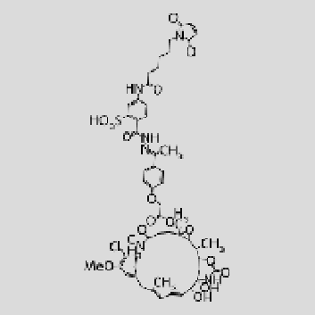 COc1cc2cc(c1Cl)N(C)C(=O)C[C@H](OC(=O)COc1ccc(/C(C)=N/NC(=O)c3ccc(NC(=O)CCCCCN4C(=O)C=CC4=O)cc3S(=O)(=O)O)cc1)C1(C)OC1C(C)C1C[C@@](O)(NC(=O)O1)[C@H](O)/C=C/C=C(\C)C2